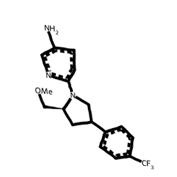 COC[C@@H]1CC(c2ccc(C(F)(F)F)cc2)CN1c1ccc(N)cn1